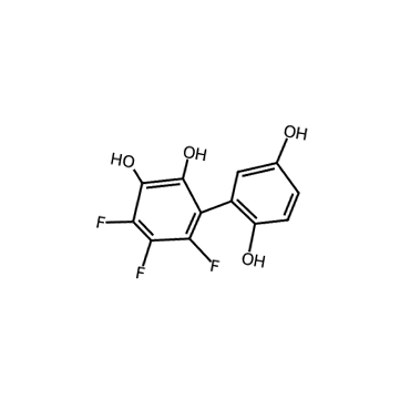 Oc1ccc(O)c(-c2c(O)c(O)c(F)c(F)c2F)c1